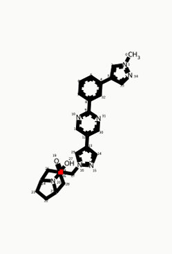 Cn1cc(-c2cccc(-c3ncc(-c4cnn(CC(=O)N5C6CCC5CC(O)C6)c4)cn3)c2)cn1